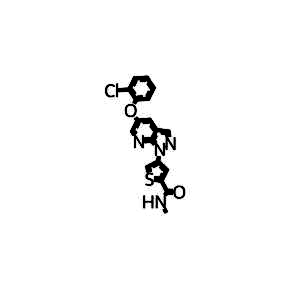 CNC(=O)c1cc(-n2ncc3cc(Oc4ccccc4Cl)cnc32)cs1